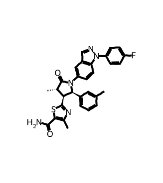 Cc1cccc([C@H]2[C@@H](c3nc(C)c(C(N)=O)s3)[C@H](C)C(=O)N2c2ccc3c(cnn3-c3ccc(F)cc3)c2)c1